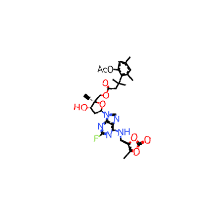 C#C[C@]1(COC(=O)CC(C)(C)c2c(C)cc(C)cc2OC(C)=O)O[C@@H](n2cnc3c(NCc4oc(=O)oc4C)nc(F)nc32)C[C@@H]1O